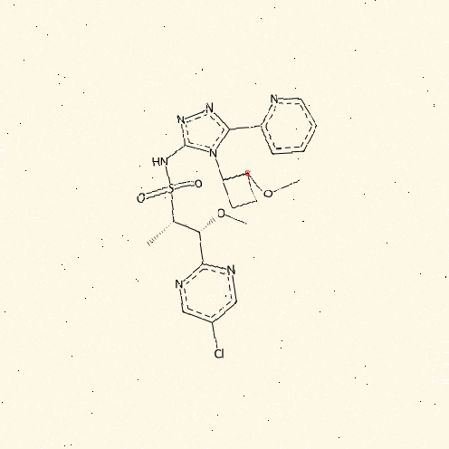 COCC1(n2c(NS(=O)(=O)[C@@H](C)[C@H](OC)c3ncc(Cl)cn3)nnc2-c2ccccn2)CCC1